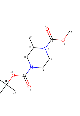 COC(=O)N1CCN(C(=O)OC(C)(C)C)CC1C